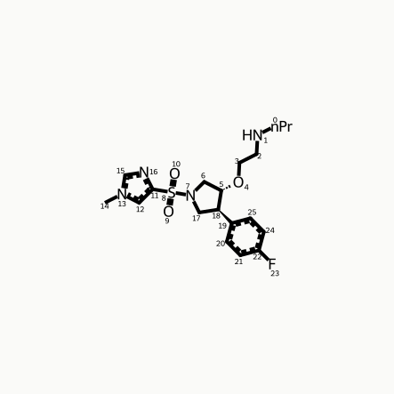 CCCNCCO[C@H]1CN(S(=O)(=O)c2cn(C)cn2)C[C@@H]1c1ccc(F)cc1